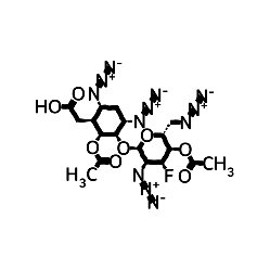 CC(=O)O[C@H]1[C@@H](CC(=O)O)[C@H](N=[N+]=[N-])C[C@H](N=[N+]=[N-])[C@H]1O[C@H]1O[C@H](CN=[N+]=[N-])[C@@H](OC(C)=O)[C@@H](F)[C@H]1N=[N+]=[N-]